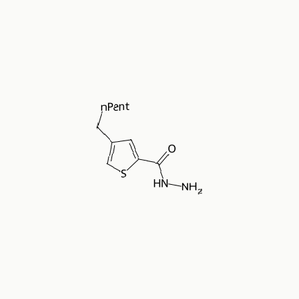 CCCCCCc1csc(C(=O)NN)c1